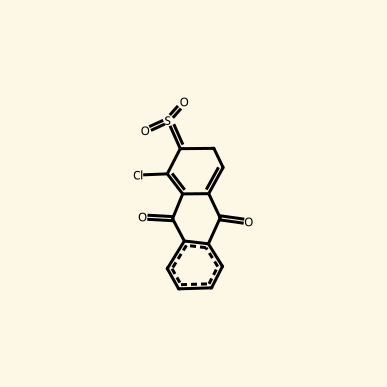 O=C1C2=CCC(=S(=O)=O)C(Cl)=C2C(=O)c2ccccc21